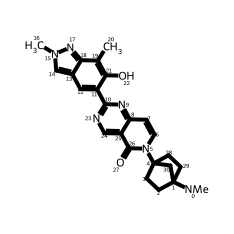 CNC12CCC(n3ccc4nc(-c5cc6cn(C)nc6c(C)c5O)ncc4c3=O)(CC1)C2